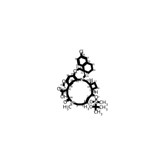 CN1CC/C=C/C(O[Si](C)(C)C(C)(C)C)[C@@H]2CC[C@H]2CN2C[C@@]3(CCCc4cc(Cl)ccc43)COc3ccc(cc32)[C@](CO)(C(=O)O)CC1=O